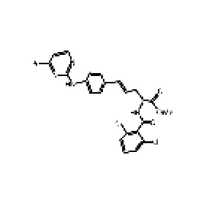 COC(=O)C(CC=Cc1ccc(Nc2nccc(C(C)C)n2)cc1)NC(=O)c1c(Cl)cccc1Cl